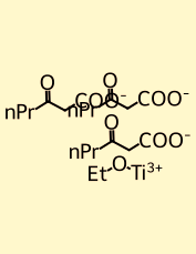 CCCC(=O)CC(=O)[O-].CCCC(=O)CC(=O)[O-].CCCC(=O)CC(=O)[O-].CC[O][Ti+3]